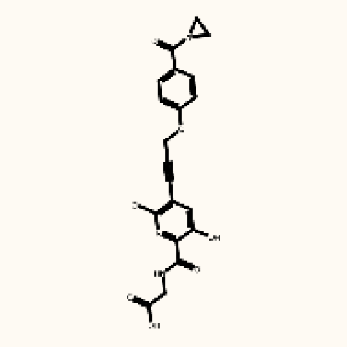 O=C(O)CNC(=O)c1nc(Cl)c(C#CCOc2ccc(C(=O)N3CC3)cc2)cc1O